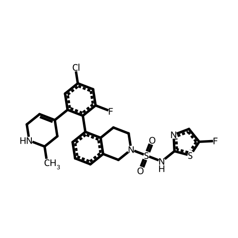 CC1CC(c2cc(Cl)cc(F)c2-c2cccc3c2CCN(S(=O)(=O)Nc2ncc(F)s2)C3)=CCN1